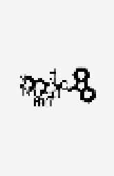 CC(C)(C)OC(=O)C(Cc1cncnc1)NC(=O)OCC1c2ccccc2-c2ccccc21